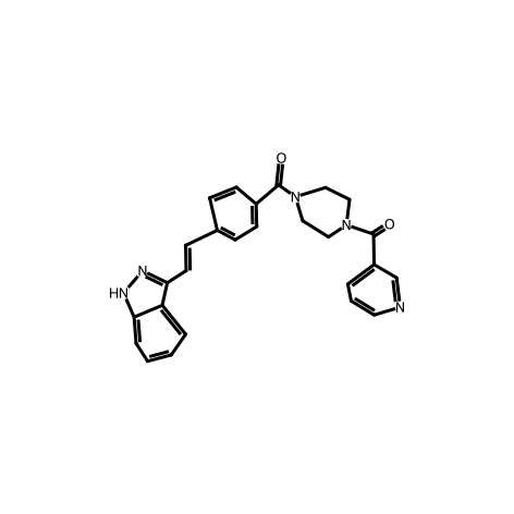 O=C(c1ccc(C=Cc2n[nH]c3ccccc23)cc1)N1CCN(C(=O)c2cccnc2)CC1